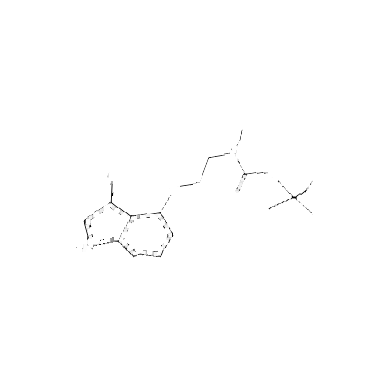 CN(CCOc1cccc2[nH]cc(Cl)c12)C(=O)OC(C)(C)C